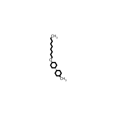 CCCCCCCCCO[C@H]1CC[C@H](C2CCC(C)CC2)CC1